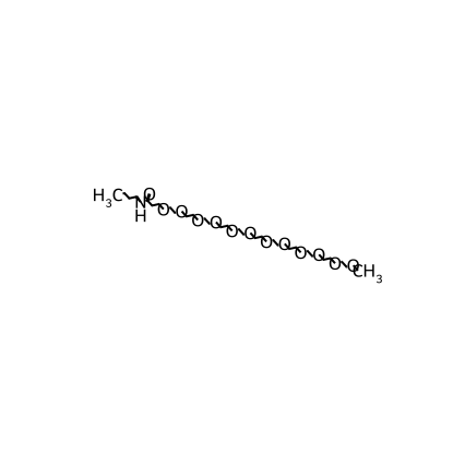 CCCCNC(=O)CCOCCOCCOCCOCCOCCOCCOCCOCCOCCOCCOCCOC